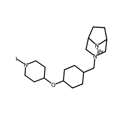 CC(C)N1C2CCC1CN(CC1CCC(OC3CCN(I)CC3)CC1)C2